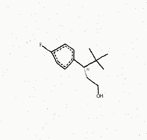 CC(C)(C)[C@H](CCO)c1ccc(F)cc1